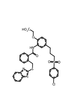 O=C(O)COc1ccc(CCCS(=O)(=O)c2ccc(Cl)cc2)cc1NC(=O)c1ccccc1CSc1nc2ccccc2s1